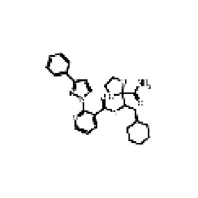 NC(=O)C1(C(CC2CCCCC2)NC(=O)c2cccnc2-n2ccc(-c3ccccc3)n2)OCCO1